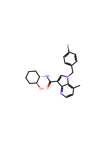 Cc1ccnc2c(C(=O)N[C@H]3CCCC[C@@H]3O)cn(Cc3ccc(Cl)cc3)c12